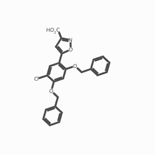 O=C(O)c1cc(-c2cc(Cl)c(OCc3ccccc3)cc2OCc2ccccc2)on1